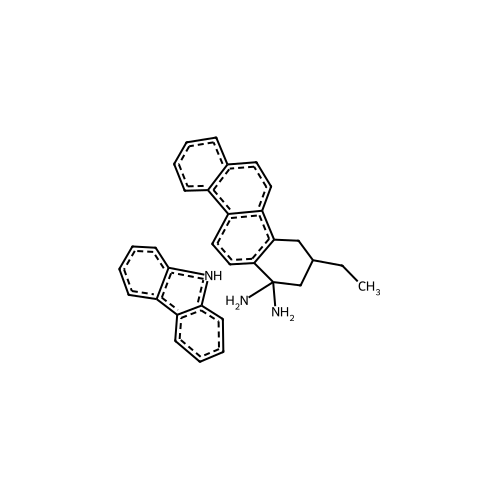 CCC1Cc2c(ccc3c2ccc2ccccc23)C(N)(N)C1.c1ccc2c(c1)[nH]c1ccccc12